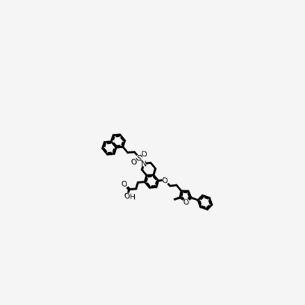 Cc1oc(-c2ccccc2)cc1CCOc1ccc(CCC(=O)O)c2c1CCN(S(=O)(=O)CCc1cccc3ccccc13)C2